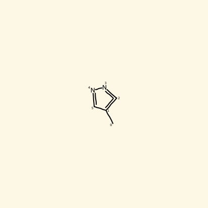 CC1=C=NN=C1